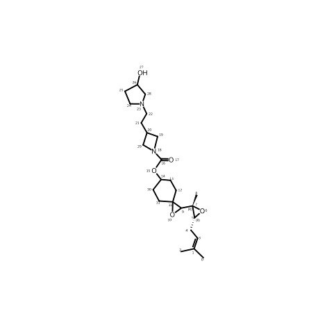 CC(C)=CC[C@H]1O[C@@]1(C)C1OC12CCC(OC(=O)N1CC(CCN3CCC(O)C3)C1)CC2